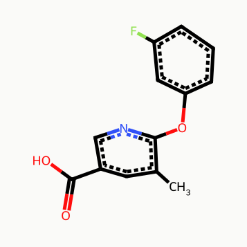 Cc1cc(C(=O)O)cnc1Oc1cccc(F)c1